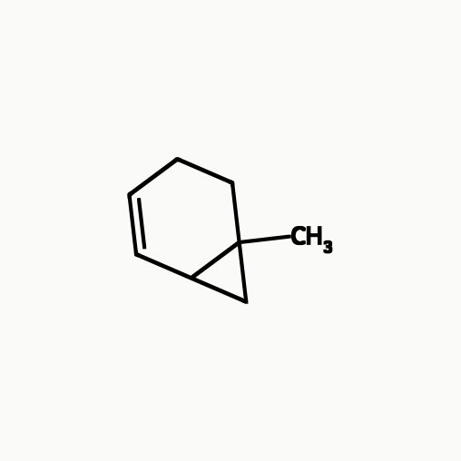 CC12CCC=CC1C2